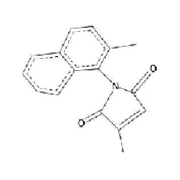 CC1=CC(=O)N(c2c(C)ccc3ccccc23)C1=O